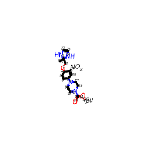 CC1(COc2ccc(N3CCN(C(=O)OC(C)(C)C)CC3)cc2[N+](=O)[O-])NC=CN1